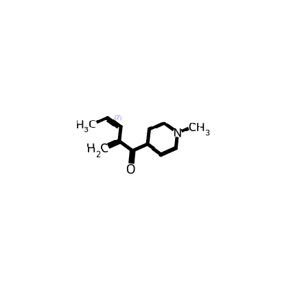 C=C(/C=C\C)C(=O)C1CCN(C)CC1